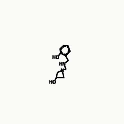 Oc1ccccc1CNCN1CC(O)C1